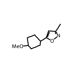 COC1CCC(c2cc(C)no2)CC1